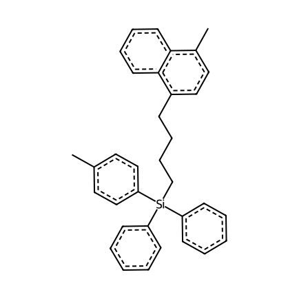 Cc1ccc([Si](CCCCc2ccc(C)c3ccccc23)(c2ccccc2)c2ccccc2)cc1